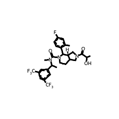 Cc1cc(F)ccc1C1[C@@H]2CN(C(=O)C(C)O)CC2CCN1C(=O)N(C)C(C)c1cc(C(F)(F)F)cc(C(F)(F)F)c1